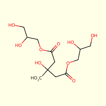 O=C(CC(O)(CC(=O)OCC(O)CO)C(=O)O)OCC(O)CO